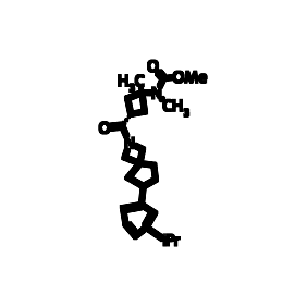 COC(=O)N(C)[C@]1(C)C[C@H](C(=O)N2CC3(CCC(c4cccc(C(C)C)c4)C3)C2)C1